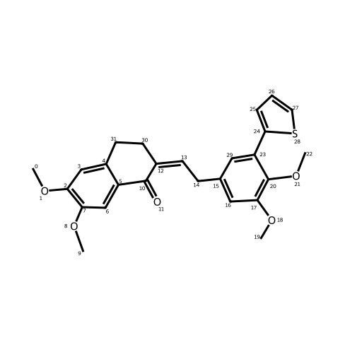 COc1cc2c(cc1OC)C(=O)C(=CCc1cc(OC)c(OC)c(-c3cccs3)c1)CC2